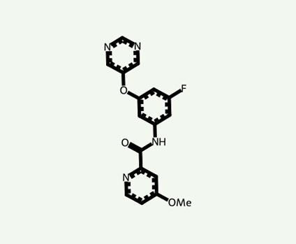 COc1ccnc(C(=O)Nc2cc(F)cc(Oc3cncnc3)c2)c1